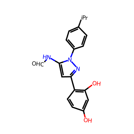 CC(C)c1ccc(-n2nc(-c3ccc(O)cc3O)cc2NC=O)cc1